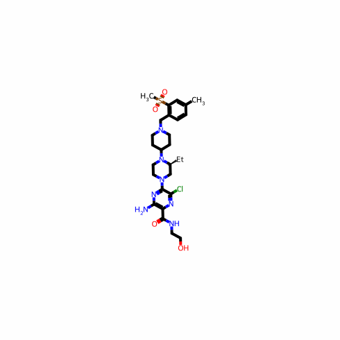 CC[C@H]1CN(c2nc(N)c(C(=O)NCCO)nc2Cl)CCN1C1CCN(Cc2ccc(C)cc2S(C)(=O)=O)CC1